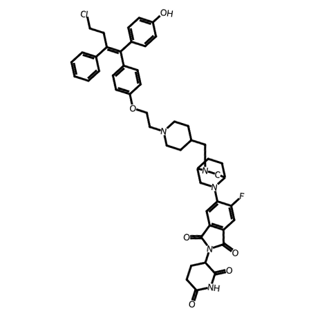 O=C1CCC(N2C(=O)c3cc(F)c(N4CC5CCC4CN5CC4CCN(CCOc5ccc(C(=C(CCCl)c6ccccc6)c6ccc(O)cc6)cc5)CC4)cc3C2=O)C(=O)N1